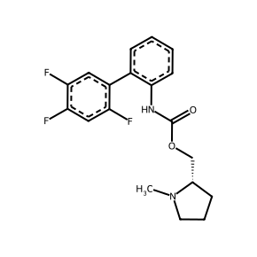 CN1CCC[C@H]1COC(=O)Nc1ccccc1-c1cc(F)c(F)cc1F